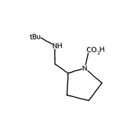 CC(C)(C)NCC1CCCN1C(=O)O